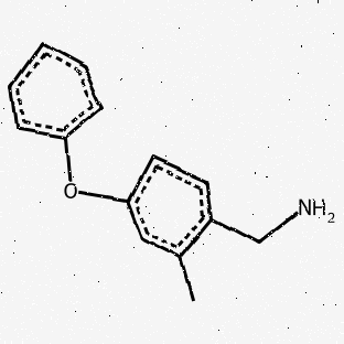 Cc1cc(Oc2ccccc2)ccc1CN